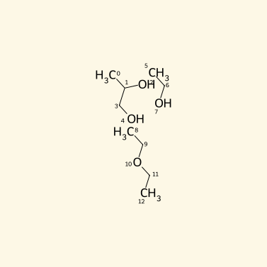 CC(O)CO.CCO.CCOCC